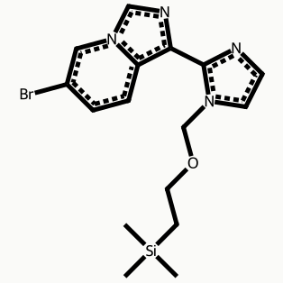 C[Si](C)(C)CCOCn1ccnc1-c1ncn2cc(Br)ccc12